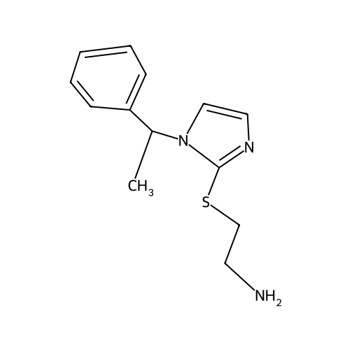 CC(c1ccccc1)n1ccnc1SCCN